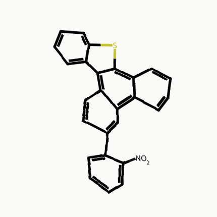 O=[N+]([O-])c1ccccc1-c1ccc2c(c1)c1ccccc1c1sc3ccccc3c21